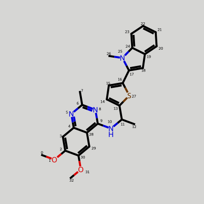 COc1cc2nc(C)nc(NC(C)c3ccc(-c4cc5ccccc5n4C)s3)c2cc1OC